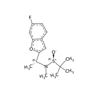 C[C@H](c1cc2ccc(F)cc2o1)N(C)[S@@+]([O-])C(C)(C)C